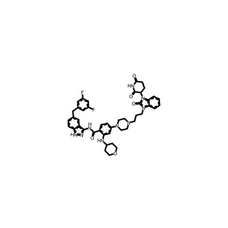 O=C1CCC(n2c(=O)n(CCCN3CCN(c4ccc(C(=O)Nc5n[nH]c6ccc(Cc7cc(F)cc(F)c7)cc56)c(NC5CCOCC5)c4)CC3)c3ccccc32)C(=O)N1